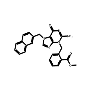 COC(=O)c1ccccc1Cn1c(N)nc(=O)c2c1ncn2Cc1ccc2ccccc2c1